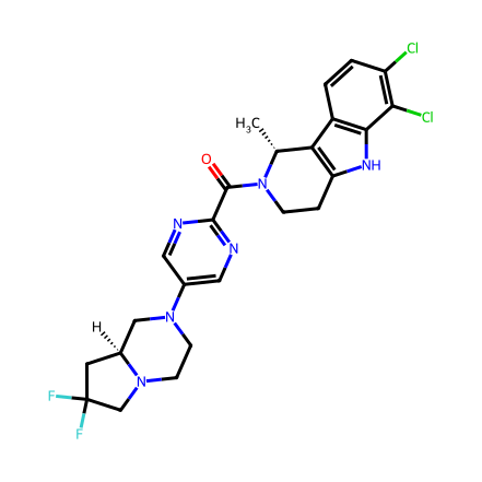 C[C@@H]1c2c([nH]c3c(Cl)c(Cl)ccc23)CCN1C(=O)c1ncc(N2CCN3CC(F)(F)C[C@H]3C2)cn1